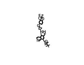 CC(C)(C)[Si](C)(C)OCc1cc(F)c(CN[C@H]2C[C@H](Oc3ccc4c(c3)OC(F)(F)O4)C2)c2ccncc12